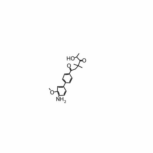 COc1cc(-c2ccc(C(=O)CC(C)(C)C(=O)C(C)O)cc2)ccc1N